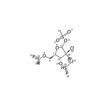 CS(=O)(=O)OC1O[C@H](CO[SH](#P)I)[C@@H](O[SH](#P)I)[C@@]1(Cl)Br